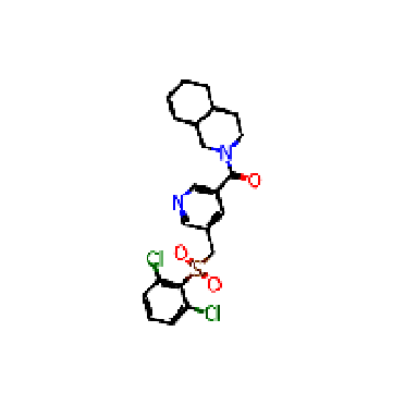 O=C(c1cncc(CS(=O)(=O)c2c(Cl)cccc2Cl)c1)N1CCC2CCCCC2C1